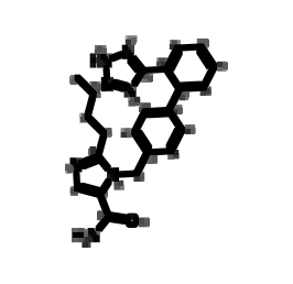 CCCCc1ncc(C(N)=O)n1Cc1ccc(-c2ccccc2-c2nn[nH]n2)cc1